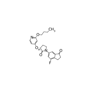 CCCCOc1cc(O[C@@H]2CCN(c3cc(F)c4c(c3)C(=O)CC4)C2=O)ccn1